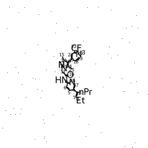 CC/C=C(\CCC)c1ccc(NC(=O)Cn2nc(C)c(-c3ccnc(C(F)(F)F)c3)c2C)nc1